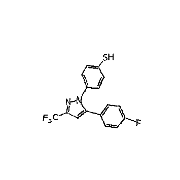 Fc1ccc(-c2cc(C(F)(F)F)nn2-c2ccc(S)cc2)cc1